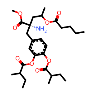 CCCCC(=O)OC(C)C[C@@](N)(Cc1ccc(OC(=O)C(C)CC)c(OC(=O)C(C)CC)c1)C(=O)OC